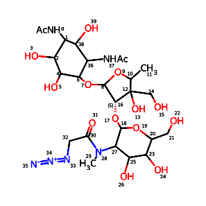 CC(=O)NC1C(O)C(O)C(OC2OC(C)C(O)(CO)[C@@H]2OC2OC(CO)C(O)C(O)C2N(C)C(=O)CN=[N+]=[N-])C(NC(C)=O)C1O